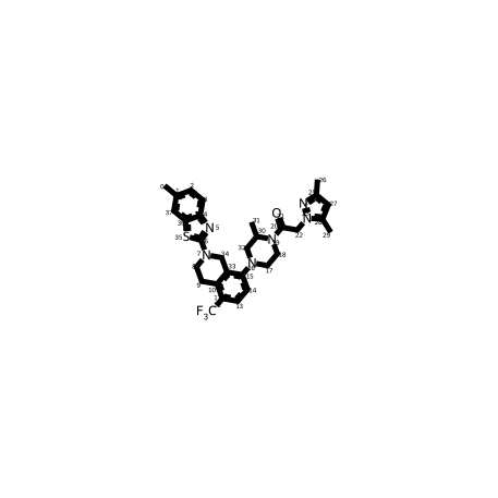 Cc1ccc2nc(N3CCc4c(C(F)(F)F)ccc(N5CCN(C(=O)Cn6nc(C)cc6C)C(C)C5)c4C3)sc2c1